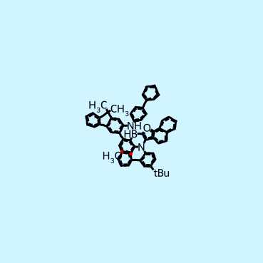 Cc1cc(-c2cc3c(cc2Nc2ccc(-c4ccccc4)cc2)C(C)(C)c2ccccc2-3)c2c(c1)N(c1ccc(C(C)(C)C)cc1-c1ccccc1)c1c(oc3c1ccc1ccccc13)B2